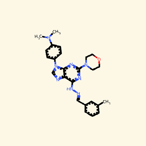 Cc1cccc(C=NNc2nc(N3CCOCC3)nc3c2ncn3-c2ccc(N(C)C)cc2)c1